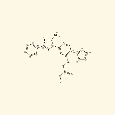 COC(=O)COc1cc(N2C=C(c3ccccc3)OC2N)ccc1-c1cnco1